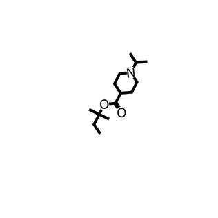 CCC(C)(C)OC(=O)C1CCN(C(C)C)CC1